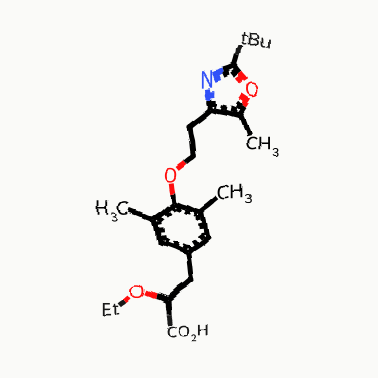 CCOC(Cc1cc(C)c(OCCc2nc(C(C)(C)C)oc2C)c(C)c1)C(=O)O